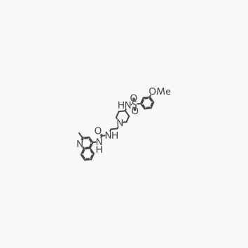 COc1cccc(S(=O)(=O)NC2CCN(CCNC(=O)Nc3cc(C)nc4ccccc34)CC2)c1